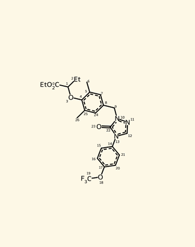 CCOC(=O)C(CC)Oc1c(C)cc(Cn2ncn(-c3ccc(OC(F)(F)F)cc3)c2=O)cc1C